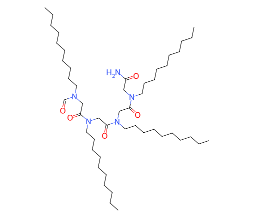 CCCCCCCCCCN(C=O)CC(=O)N(CCCCCCCCCC)CC(=O)N(CCCCCCCCCC)CC(=O)N(CCCCCCCCCC)CC(N)=O